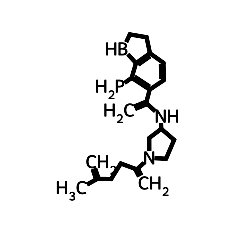 C=C(C)CCC(=C)N1CCC(NC(=C)c2ccc3c(c2P)BCC3)C1